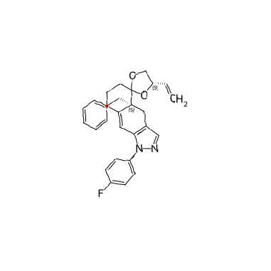 C=C[C@H]1COC2(CCCC3=Cc4c(cnn4-c4ccc(F)cc4)C[C@@]32Cc2ccccc2)O1